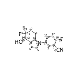 N#Cc1cc(-n2ccc3c2CCC(F)(F)[C@H]3O)ccc1F